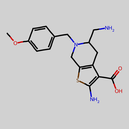 COc1ccc(CN2Cc3sc(N)c(C(=O)O)c3CC2CN)cc1